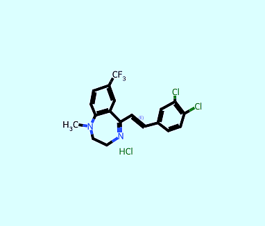 CN1CCN=C(/C=C/c2ccc(Cl)c(Cl)c2)c2cc(C(F)(F)F)ccc21.Cl